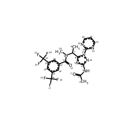 CC(=O)Nc1nc(C(C)N(C)C(=O)c2cc(C(F)(F)F)cc(C(F)(F)F)c2)n(-c2ncccn2)n1